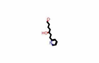 [O]CCCCC(O)CCc1ccccn1